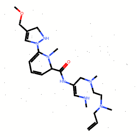 C=CCN(C)CCN(C)C/C(=C\NC)NC(=O)C1C=CC=C(N2C=C(COC)CN2)N1C